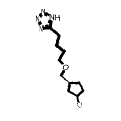 ClC1CC[C@H](COCCCCc2nnn[nH]2)C1